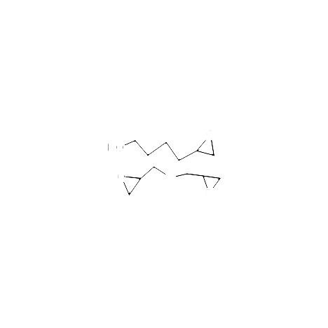 C(OCC1CO1)C1CO1.OCCCCC1CO1